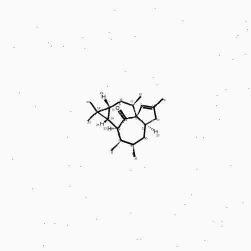 CC1=C[C@]23C(=O)[C@@H]([C@H](C)[C@H](C)C[C@@H]2C1)[C@H]1[C@@H](C[C@H]3C)C1(C)C